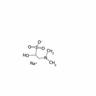 CN(C)CC(O)S(=O)(=O)[O-].[Na+]